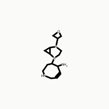 NC1C#CCNCCC1N1CCN(C2COC2)C2CC21